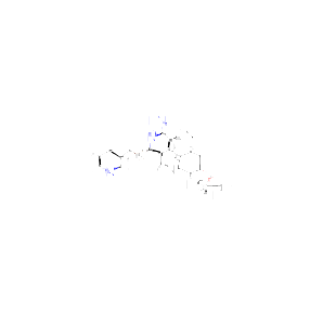 CC(C)(C)[Si](C)(C)OC1CCC(c2c(C#N)c(N)nc(SCc3cccnc3)c2C#N)CC1